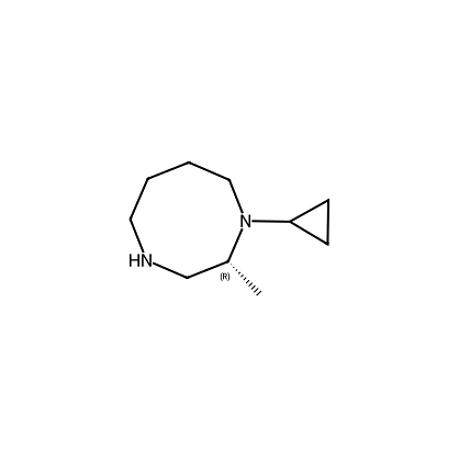 C[C@@H]1CNCCCCN1C1CC1